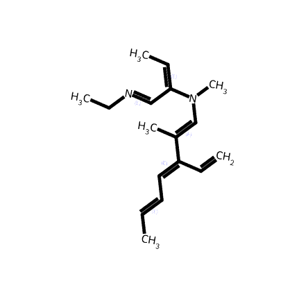 C=CC(=C\C=C\C)/C(C)=C/N(C)C(/C=N/CC)=C/C